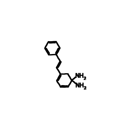 NC1(N)C=CC=C(C=Cc2ccccc2)C1